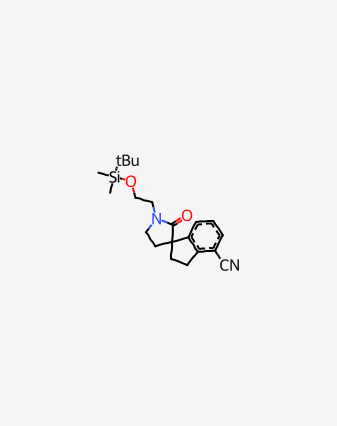 CC(C)(C)[Si](C)(C)OCCN1CCC2(CCc3c(C#N)cccc32)C1=O